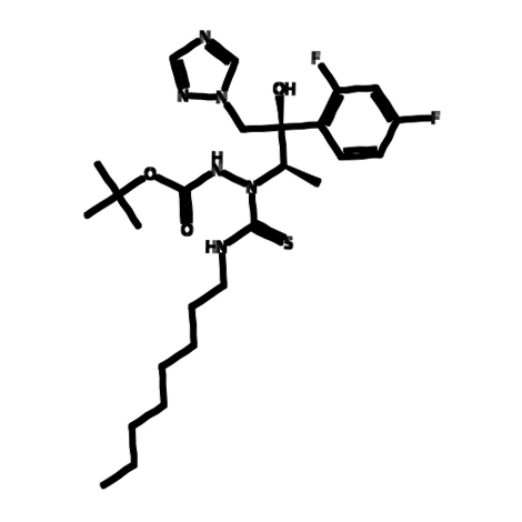 CCCCCCCCNC(=S)N(NC(=O)OC(C)(C)C)[C@H](C)[C@](O)(Cn1cncn1)c1ccc(F)cc1F